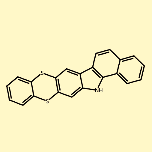 c1ccc2c(c1)Sc1cc3[nH]c4c5ccccc5ccc4c3cc1S2